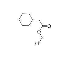 O=C(CC1CCCCC1)OCCl